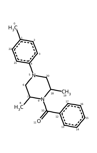 Cc1ccc(N2CC(C)N(C(=O)c3ccccc3)C(C)C2)cc1